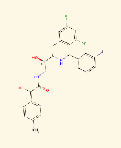 Cc1ccc(C(O)C(=O)NC[C@@H](O)C(Cc2cc(F)cc(F)c2)NCc2cccc(I)c2)cc1